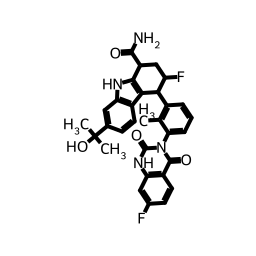 Cc1c(C2c3c([nH]c4cc(C(C)(C)O)ccc34)C(C(N)=O)CC2F)cccc1-n1c(=O)[nH]c2cc(F)ccc2c1=O